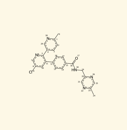 Cc1ccc(-c2ncc(Cl)cc2-c2ccc(C(=O)NCc3cnc(C)cn3)cc2)cn1